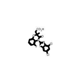 CC1(CC(=O)O)Oc2cccc(F)c2N(c2nc3c(Cl)cc(Cl)cc3s2)C1=O